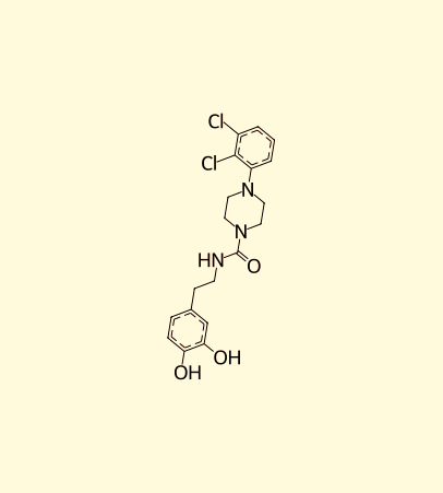 O=C(NCCc1ccc(O)c(O)c1)N1CCN(c2cccc(Cl)c2Cl)CC1